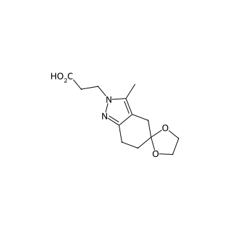 Cc1c2c(nn1CCC(=O)O)CCC1(C2)OCCO1